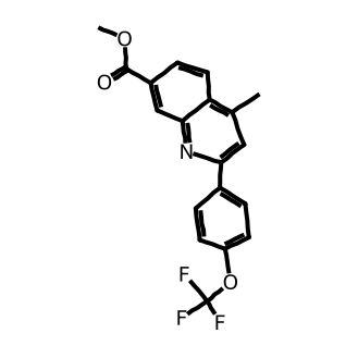 COC(=O)c1ccc2c(C)cc(-c3ccc(OC(F)(F)F)cc3)nc2c1